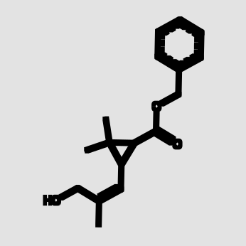 CC(=CC1C(C(=O)OCc2ccccc2)C1(C)C)CO